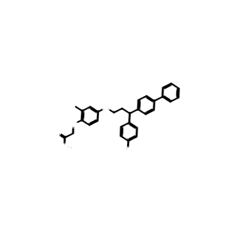 Cc1cc(OCCC(c2ccc(F)cc2)c2ccc(-c3ccccc3)cc2)ccc1OCC(=O)O